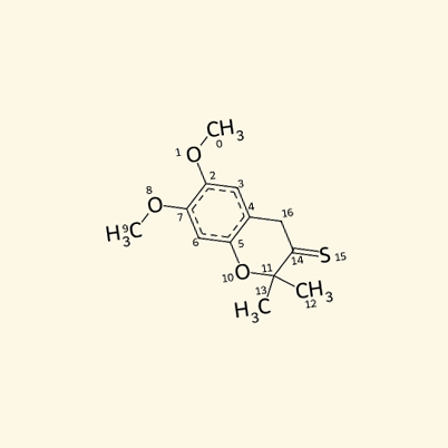 COc1cc2c(cc1OC)OC(C)(C)C(=S)C2